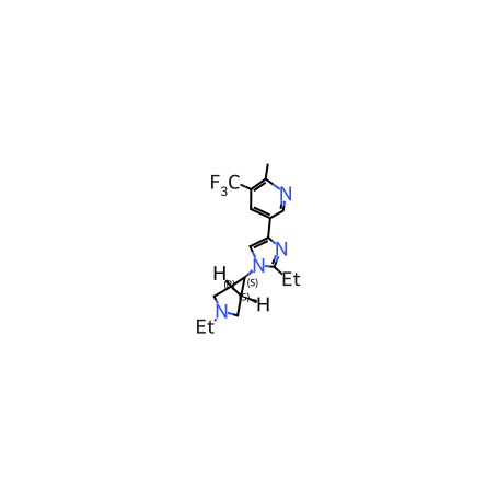 CCc1nc(-c2cnc(C)c(C(F)(F)F)c2)cn1[C@H]1[C@@H]2CN(CC)C[C@@H]21